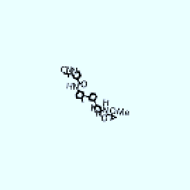 COC1(C(=O)Nc2cc(-c3cccc(-c4cc(NC(=O)c5ccnc(C(C)(C)C#N)c5)ccc4C)c3)ncn2)CC1